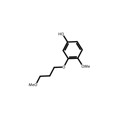 COCCCOc1cc(O)ccc1OC